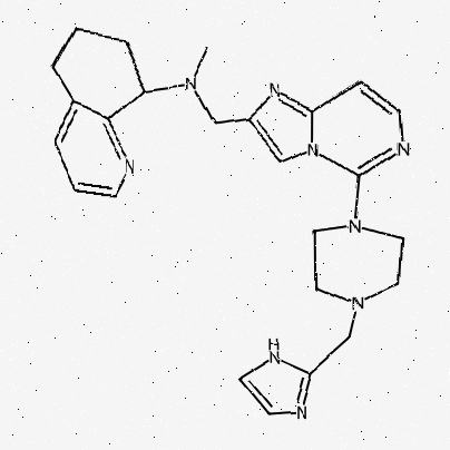 CN(Cc1cn2c(N3CCN(Cc4ncc[nH]4)CC3)nccc2n1)C1CCCc2cccnc21